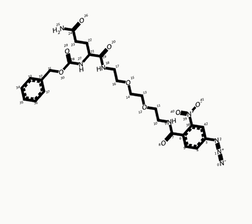 [N-]=[N+]=Nc1ccc(C(=O)NCCOCCOCCNC(=O)C(CCC(N)=O)NC(=O)OCc2ccccc2)c([N+](=O)[O-])c1